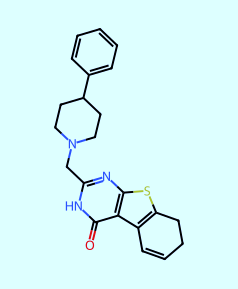 O=c1[nH]c(CN2CCC(c3ccccc3)CC2)nc2sc3c(c12)C=CCC3